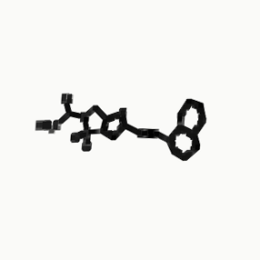 CCC(C(=O)O)N1Cc2sc(C#Cc3cccc4ccccc34)cc2S1(=O)=O